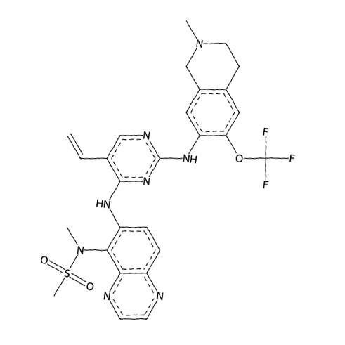 C=Cc1cnc(Nc2cc3c(cc2OC(F)(F)F)CCN(C)C3)nc1Nc1ccc2nccnc2c1N(C)S(C)(=O)=O